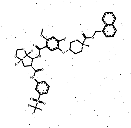 COc1cc(F)c(O[C@H]2CC[C@@](C)(C(=O)OCc3cccc4ccccc34)CC2)cc1C(=O)N[C@@H]1[C@H]2OCO[C@H]2C[C@@H]1C(=O)Nc1cccc(S(=O)(=O)C(F)(F)F)c1